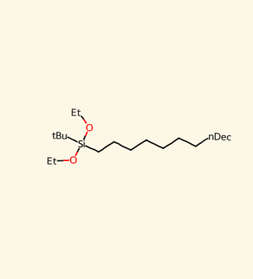 CCCCCCCCCCCCCCCCC[Si](OCC)(OCC)C(C)(C)C